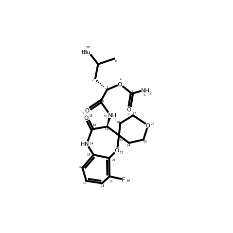 CC(C[C@H](OC(N)=O)C(=O)N[C@@H]1C(=O)Nc2cccc(F)c2OC12CCOCC2)C(C)(C)C